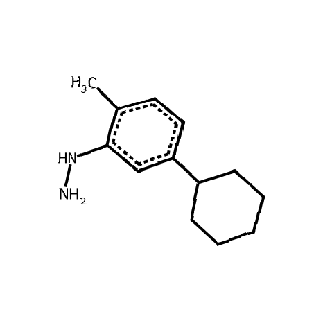 Cc1ccc(C2CCCCC2)cc1NN